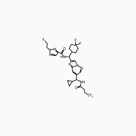 O=C(CCC(F)(F)F)NC(c1cnn2cc([C@@H](NC(=O)c3cnn(CCF)n3)C3CCC(F)(F)CC3)nc2c1)C1CC1